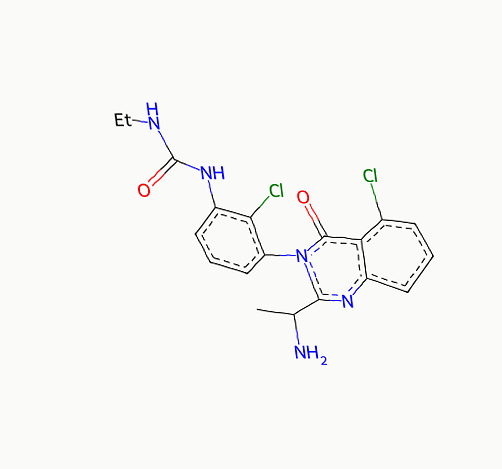 CCNC(=O)Nc1cccc(-n2c(C(C)N)nc3cccc(Cl)c3c2=O)c1Cl